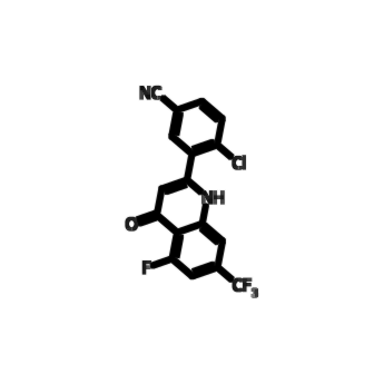 N#Cc1ccc(Cl)c(-c2cc(=O)c3c(F)cc(C(F)(F)F)cc3[nH]2)c1